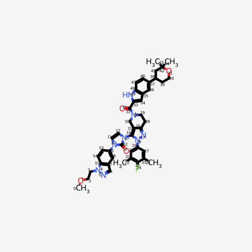 COCCn1ncc2cc(-n3ccn(-c4c5c(nn4-c4cc(C)c(F)c(C)c4)CCN(C(=O)c4cc6cc(C7CCOC(C)(C)C7)ccc6[nH]4)C5)c3=O)ccc21